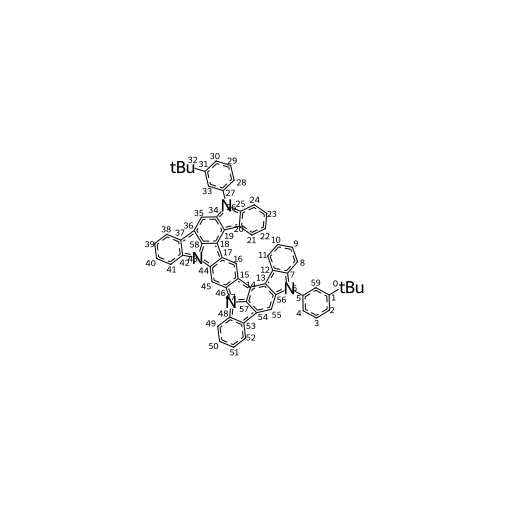 CC(C)(C)c1cccc(-n2c3ccccc3c3c4c5cc6c7c8c9ccccc9n(-c9cccc(C(C)(C)C)c9)c8cc8c9ccccc9n(c6cc5n5c6ccccc6c(cc32)c45)c87)c1